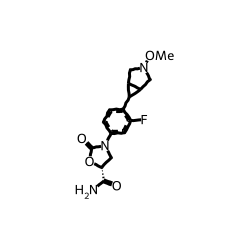 CON1CC2C(C1)C2c1ccc(N2C[C@H](C(N)=O)OC2=O)cc1F